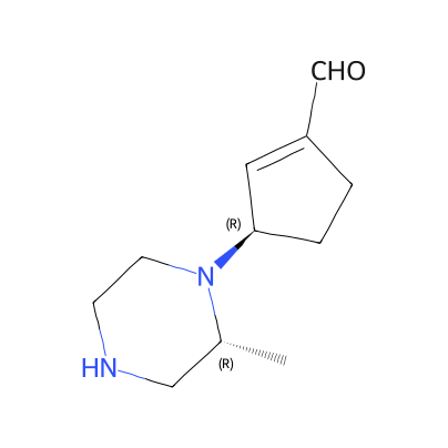 C[C@@H]1CNCCN1[C@H]1C=C(C=O)CC1